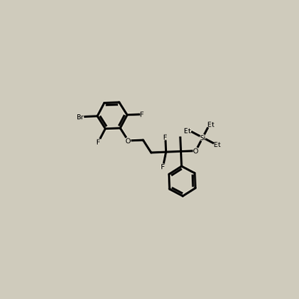 CC[Si](CC)(CC)OC(C)(c1ccccc1)C(F)(F)CCOc1c(F)ccc(Br)c1F